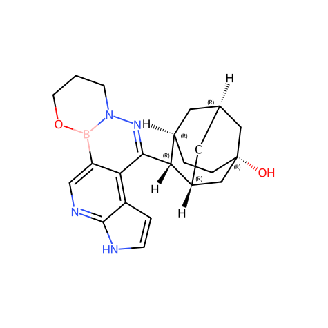 O[C@@]12CC[C@@H]3C[C@H](C[C@H](C1)[C@@H]3C1=NN3CCCOB3c3cnc4[nH]ccc4c31)C2